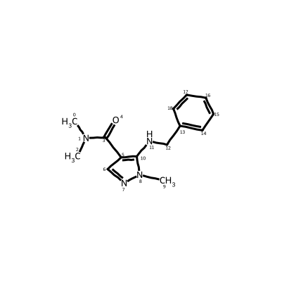 CN(C)C(=O)c1cnn(C)c1NCc1ccccc1